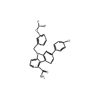 NC(=O)c1cccc2c1c1[c]cc(-c3ccc(Cl)cc3)cc1n2Cc1cccc(OC(F)F)c1